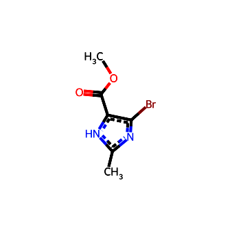 COC(=O)c1[nH]c(C)nc1Br